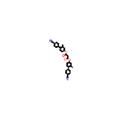 Cc1cc(OC(=O)CC(=O)Oc2ccc(-c3ccc(C#N)cc3)c(C)c2)ccc1-c1ccc(C#N)cc1